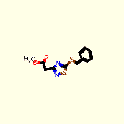 COC(=O)Cc1nsc(SCc2ccccc2)n1